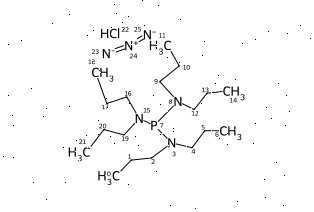 CCCN(CCC)P(N(CCC)CCC)N(CCC)CCC.Cl.[N-]=[N+]=[N-]